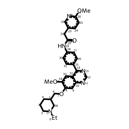 CCN1CCCC(COc2cc3ncnc(-c4ccc(NC(=O)Cc5ccc(OC)nc5)cc4)c3cc2OC)C1